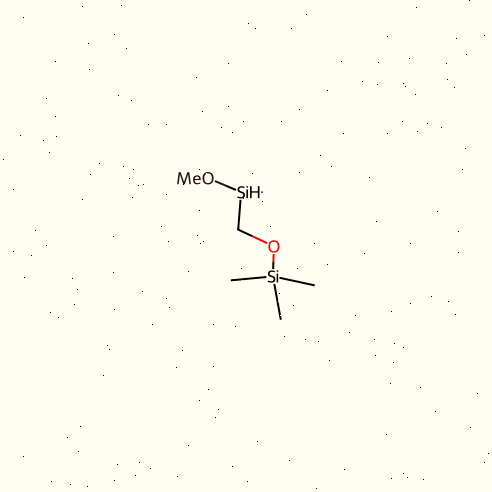 CO[SiH]CO[Si](C)(C)C